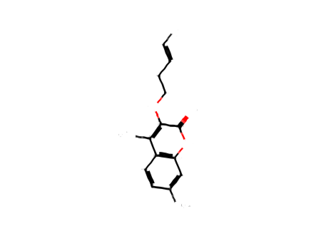 CCC=CCCOc1c(OC)c2ccc(OC)cc2oc1=O